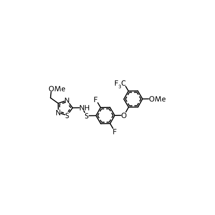 COCc1nsc(NSc2cc(F)c(Oc3cc(OC)cc(C(F)(F)F)c3)cc2F)n1